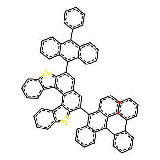 c1ccc(-c2ccccc2-c2c3ccccc3c(-c3cc4cc(-c5c6ccccc6c(-c6ccccc6)c6ccccc56)c5sc6ccccc6c5c4c4c3sc3ccccc34)c3ccccc23)cc1